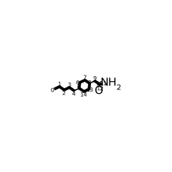 CCCCC[C@H]1CC[C@@H](CC(N)=O)CC1